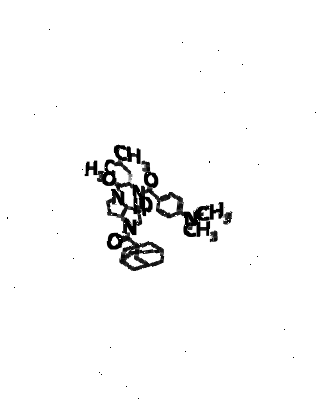 CC(C)C[C@H](NC(=O)c1ccc(N(C)C)cc1)C(=O)N1CCC2C1C(=O)CN2C(=O)C12CC3CC(CC(C3)C1)C2